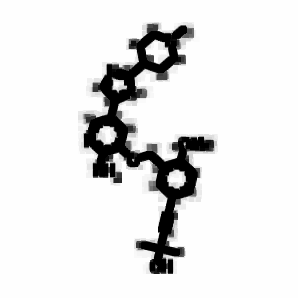 COc1ccc(C#CC(C)(C)O)cc1COc1cc(-c2cnc(C3CCN(C)CC3)s2)cnc1N